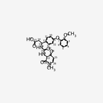 COc1ccccc1Oc1ccc(C(CC(=O)O)NC(=O)NC2C(=O)C=CN(C)C2=O)cc1